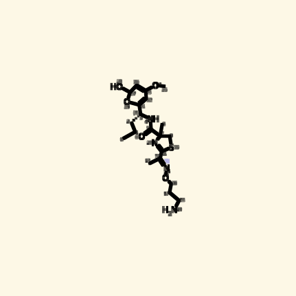 CCC[C@@H](NC(=O)C1(C)CSC(/C(C)=N/OCCCN)=N1)C1=CC(OC)=CC(O)O1